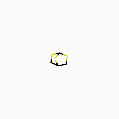 C1SC2SCC1S2